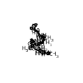 COc1cc2c(cc1OCCCOc1cc3c(cc1OC)C(=O)N1CC4(CC4)C[C@H]1C(O)N3COCc1ccc(NC(=O)[C@H](C)NC(=O)[C@@H](NC(=O)CNC(=O)CNC(=O)CCC(=O)N3Cc4ccccc4C#Cc4ccccc43)C(C)C)cc1)NC[C@@H]1CC(c3ccc(C)nc3)=CN1C2=O